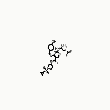 C[C@@H](COC(F)F)Nc1ncc(C(=O)N[C@H]2CCN(S(=O)(=O)C3CC3)C2)c(/N=C\C2CCC(O)CC2)n1